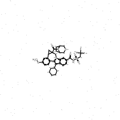 COc1ccc2c(c1)C1CC1(C(=O)N1C3CCC1COC3)Cn1c-2c(C2CCCCC2)c2ccc(C(=O)NS(=O)(=O)CC(F)(F)F)cc21